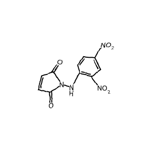 O=C1C=CC(=O)N1Nc1ccc([N+](=O)[O-])cc1[N+](=O)[O-]